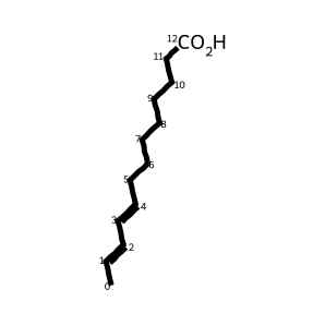 C/C=C/C=C/CCCCCCCC(=O)O